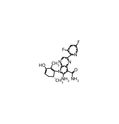 CC1=C(n2c(N)c(C(N)=O)c3nc(-c4ncc(F)cc4F)cnc32)[C@H](C)CC=C1O